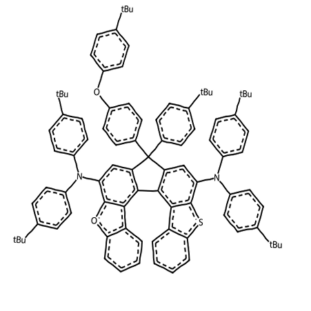 CC(C)(C)c1ccc(Oc2ccc(C3(c4ccc(C(C)(C)C)cc4)c4cc(N(c5ccc(C(C)(C)C)cc5)c5ccc(C(C)(C)C)cc5)c5oc6ccccc6c5c4-c4c3cc(N(c3ccc(C(C)(C)C)cc3)c3ccc(C(C)(C)C)cc3)c3sc5ccccc5c43)cc2)cc1